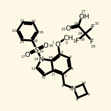 COc1ccc(CN2CCC2)c2ccn(S(=O)(=O)c3ccccc3)c12.O=C(O)C(F)(F)F